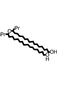 CC(C)C(CCCCCCCCCCCCCCCO)OC(CCCCCCCCCCCCCCCO)C(C)C